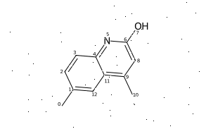 Cc1ccc2nc(O)cc(C)c2c1